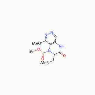 COc1nncc2c1N(C(=O)OC(C)C)C(CSC)C(=O)N2